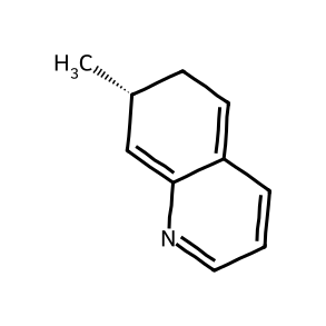 C[C@H]1C=c2ncccc2=CC1